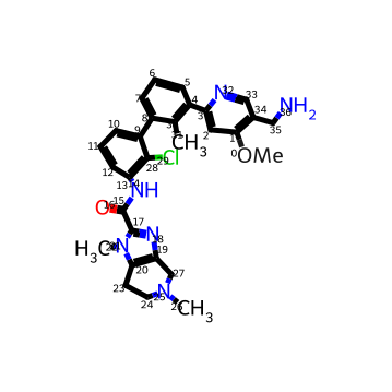 COc1cc(-c2cccc(-c3cccc(NC(=O)c4nc5c(n4C)CCN(C)C5)c3Cl)c2C)ncc1CN